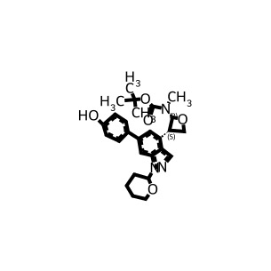 CN(C(=O)OC(C)(C)C)[C@@H]1OC[C@@H]1c1cc(-c2ccc(O)cc2)cc2c1cnn2C1CCCCO1